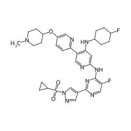 CN1CCC(Oc2ccc(-c3cnc(Nc4nc(-c5cnn(S(=O)(=O)C6CC6)c5)ncc4F)cc3NC3CCC(F)CC3)nc2)CC1